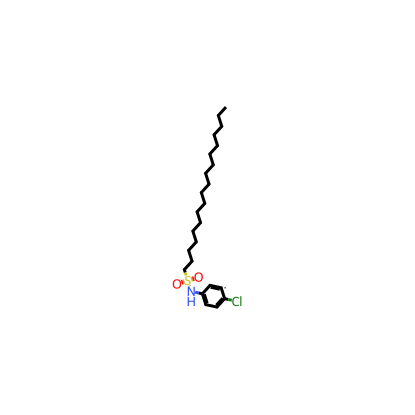 CCCCCCCCCCCCCCCCCCS(=O)(=O)Nc1c[c]c(Cl)cc1